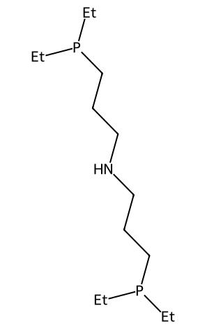 CCP(CC)CCCNCCCP(CC)CC